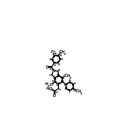 Cc1ccc(-c2c(C)c3c(c(C)c2CC(=O)O)CN(C(=O)c2ccc(C)c(F)c2)C3)cc1